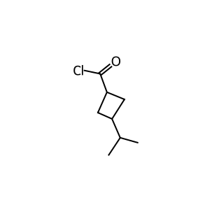 CC(C)C1CC(C(=O)Cl)C1